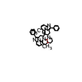 Cc1ccc2nc(-c3ccccc3)c(CC(C(=O)C(Cc3c(-c4ccccc4)nc4ccc(C)nn34)N3CCCCC3)N3CCCCC3)n2n1